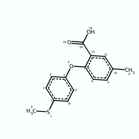 CSc1ccc(Oc2ccc(C)cc2C(=O)O)cc1